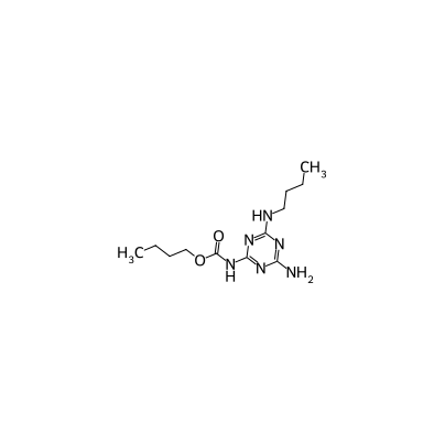 CCCCNc1nc(N)nc(NC(=O)OCCCC)n1